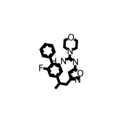 CC(Cc1cc(N=C(N)N2CCOCC2)on1)c1ccc(-c2ccccc2)c(F)c1